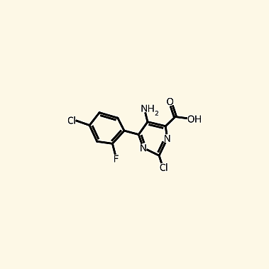 Nc1c(C(=O)O)nc(Cl)nc1-c1ccc(Cl)cc1F